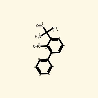 NC(N)(C=O)c1cccc(-c2ccccc2)c1C=O